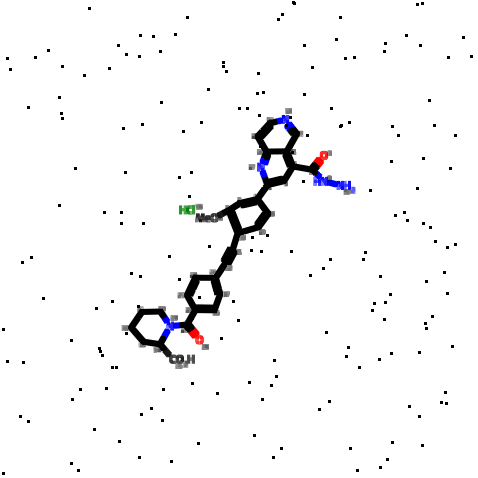 COc1cc(-c2cc(C(=O)NN)c3cnccc3n2)ccc1C#Cc1ccc(C(=O)N2CCCCC2C(=O)O)cc1.Cl